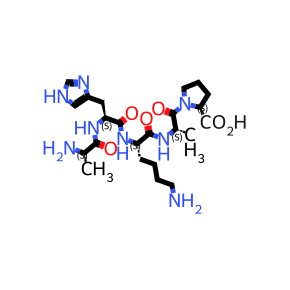 C[C@H](N)C(=O)N[C@@H](Cc1c[nH]cn1)C(=O)N[C@@H](CCCCN)C(=O)N[C@@H](C)C(=O)N1CCC[C@H]1C(=O)O